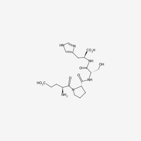 N[C@@H](CCC(=O)O)C(=O)N1CCC[C@H]1C(=O)N[C@@H](CO)C(=O)N[C@@H](Cc1c[nH]cn1)C(=O)O